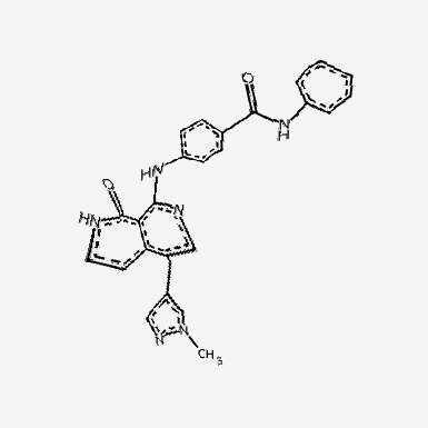 Cn1cc(-c2cnc(Nc3ccc(C(=O)Nc4ccccc4)cc3)c3c(=O)[nH]ccc23)cn1